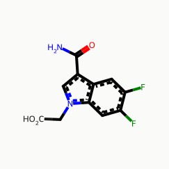 NC(=O)c1cn(CC(=O)O)c2cc(F)c(F)cc12